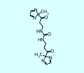 CC1(C(=O)CCNC(=O)NCCC(=O)C2(C)N=CC=N2)N=CC=N1